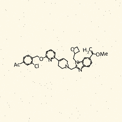 C=C(OC)c1ccc2nc(CN3CC=C(c4cccc(OCc5ccc(C(C)=O)cc5Cl)n4)CC3)n(CC3CCO3)c2c1